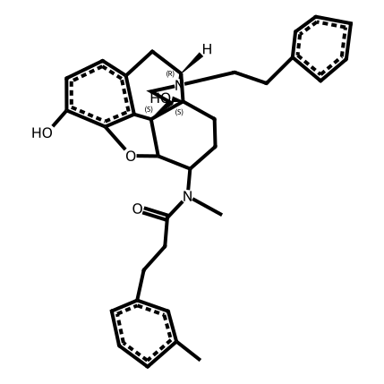 Cc1cccc(CCC(=O)N(C)C2CC[C@@]3(O)[C@H]4Cc5ccc(O)c6c5[C@@]3(CCN4CCc3ccccc3)C2O6)c1